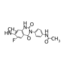 CNc1cc2[nH]c(=O)n(-c3ccc(NC(C)=O)cc3)c(=O)c2cc1F